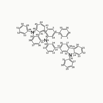 c1ccc(-c2cccc(N(c3cccc(-c4ccc5c6ccccc6n(-c6ccccc6)c5c4)c3)c3cccc4c3c3ccccc3n4-c3ccccc3)c2)cc1